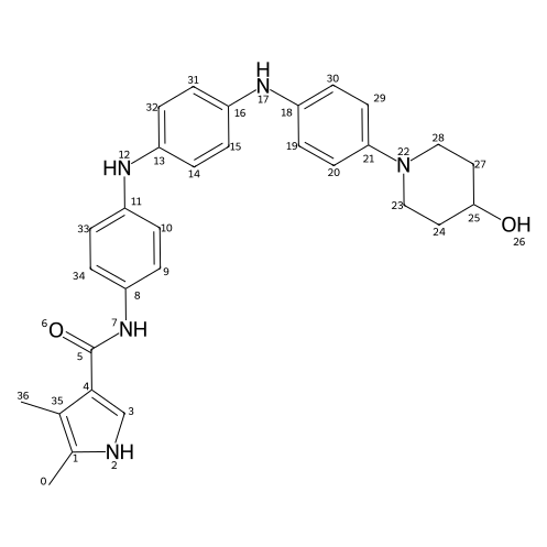 Cc1[nH]cc(C(=O)Nc2ccc(Nc3ccc(Nc4ccc(N5CCC(O)CC5)cc4)cc3)cc2)c1C